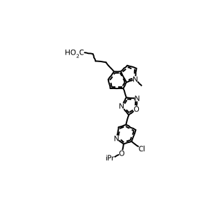 CC(C)Oc1ncc(-c2nc(-c3ccc(CCCC(=O)O)c4ccn(C)c34)no2)cc1Cl